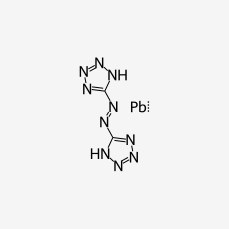 N(=Nc1nnn[nH]1)c1nnn[nH]1.[Pb]